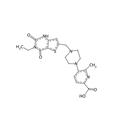 CCn1c(=O)[nH]c2cc(CN3CCN(c4ccc(C(=O)O)nc4C)CC3)sc2c1=O